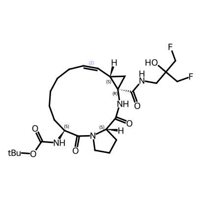 CC(C)(C)OC(=O)N[C@H]1CCCCC/C=C\[C@@H]2C[C@@]2(C(=O)NCC(O)(CF)CF)NC(=O)[C@@H]2CCCN2C1=O